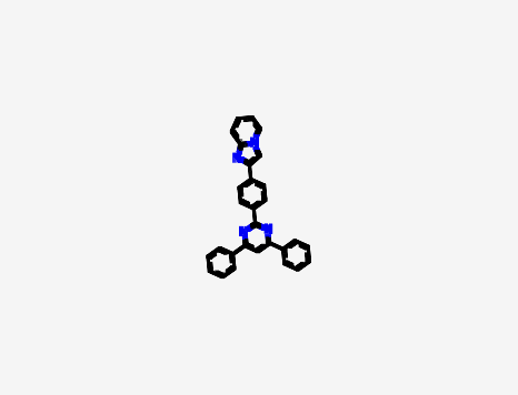 c1ccc(-c2cc(-c3ccccc3)nc(-c3ccc(-c4cn5ccccc5n4)cc3)n2)cc1